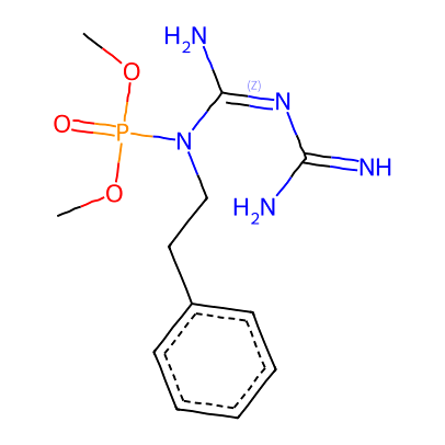 COP(=O)(OC)N(CCc1ccccc1)/C(N)=N\C(=N)N